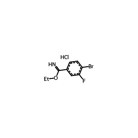 CCOC(=N)c1ccc(Br)c(F)c1.Cl